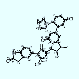 CC1c2cc(-c3cc(Cl)ccc3-n3cnnn3)cc(=O)n2C(c2nc(Cl)c(-c3ccc4c(c3)CC(=O)N4)[nH]2)C1C